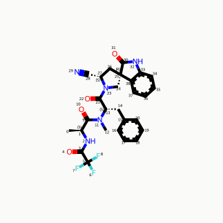 C[C@H](NC(=O)C(F)(F)F)C(=O)N(C)[C@@H](Cc1ccccc1)C(=O)N1C[C@]2(C[C@H]1C#N)C(=O)Nc1ccccc12